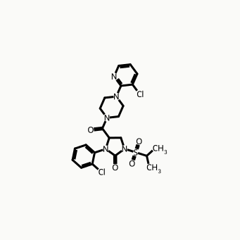 CC(C)S(=O)(=O)N1CC(C(=O)N2CCN(c3ncccc3Cl)CC2)N(c2ccccc2Cl)C1=O